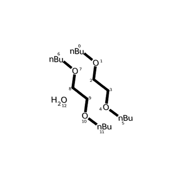 CCCCOCCOCCCC.CCCCOCCOCCCC.O